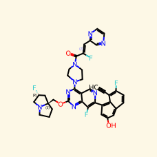 C#Cc1c(F)ccc2cc(O)cc(-c3ncc4c(N5CCN(C(=O)/C(F)=C/c6cnccn6)CC5)nc(OC[C@@]56CCCN5C[C@H](F)C6)nc4c3F)c12